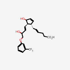 O=C(O)CCC=CC[C@H]1C=C[C@H](O)[C@@H]1C=CC(O)COc1cccc(C(F)(F)F)c1